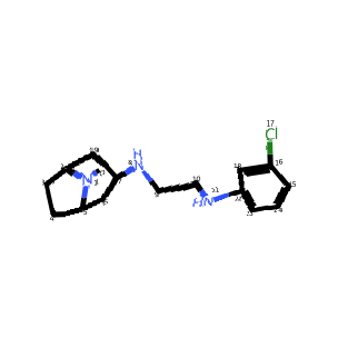 CN1C2CCC1CC(NCCNc1cccc(Cl)c1)C2